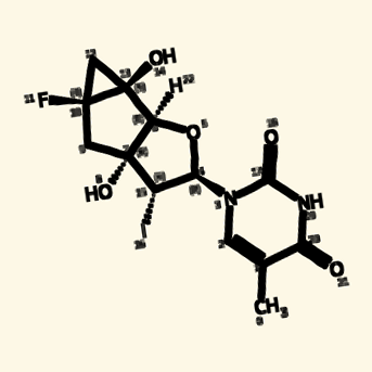 Cc1cn([C@@H]2O[C@H]3[C@](O)(C[C@]4(F)C[C@]34O)[C@H]2I)c(=O)[nH]c1=O